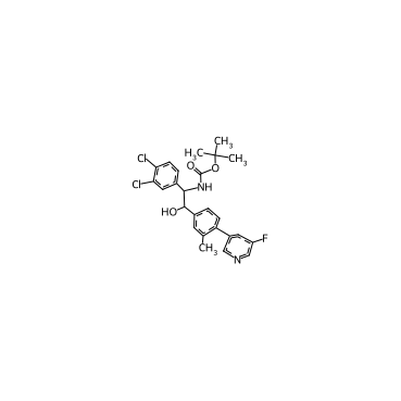 Cc1cc(C(O)C(NC(=O)OC(C)(C)C)c2ccc(Cl)c(Cl)c2)ccc1-c1cncc(F)c1